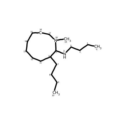 CCCCNC1C(CCCC)CCCCCCCN1C